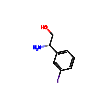 N[C@H](CO)c1cccc(I)c1